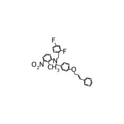 Cc1c(N(Cc2ccc(OC/C=C/c3ccccc3)cc2)Cc2ccc(F)cc2F)cccc1[N+](=O)[O-]